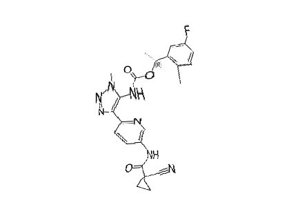 Cc1ccc(F)cc1[C@@H](C)OC(=O)Nc1c(-c2ccc(NC(=O)C3(C#N)CC3)cn2)nnn1C